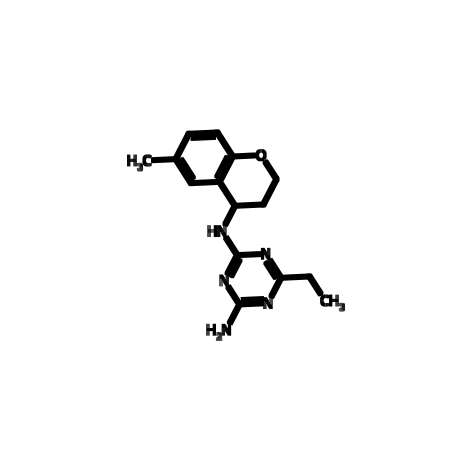 CCc1nc(N)nc(NC2CCOc3ccc(C)cc32)n1